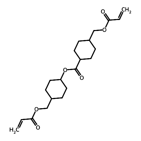 C=CC(=O)OCC1CCC(OC(=O)C2CCC(COC(=O)C=C)CC2)CC1